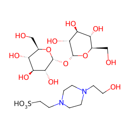 O=S(=O)(O)CCN1CCN(CCO)CC1.OC[C@H]1O[C@H](O[C@H]2O[C@H](CO)[C@@H](O)[C@H](O)[C@H]2O)[C@H](O)[C@@H](O)[C@@H]1O